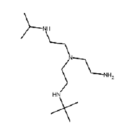 CC(C)NCCN(CCN)CCNC(C)(C)C